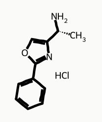 C[C@@H](N)c1coc(-c2ccccc2)n1.Cl